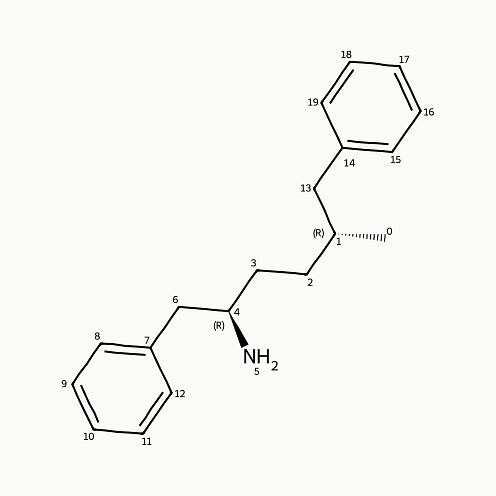 C[C@H](CC[C@@H](N)Cc1ccccc1)Cc1ccccc1